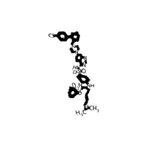 CN(C)CCCCC(CSc1ccccc1)Nc1ccc(S(=O)(=O)Nc2ncnc3cc(N4CCN(Cc5ccccc5-c5ccc(Cl)cc5)CC4)ccc23)cc1[N+](=O)[O-]